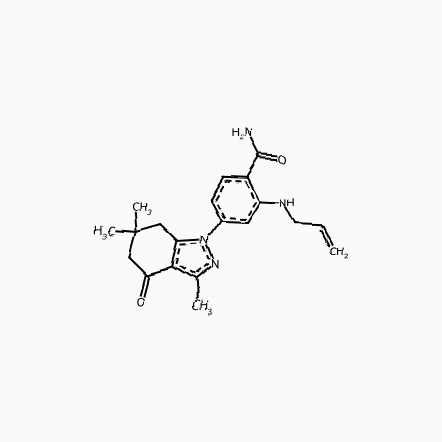 C=CCNc1cc(-n2nc(C)c3c2CC(C)(C)CC3=O)ccc1C(N)=O